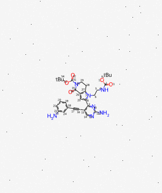 CC(C)(C)OC(=O)NCCn1c(-c2nc(N)ncc2C#Cc2cccc(N)c2)cc2c1CCN(C(=O)OC(C)(C)C)C2=O